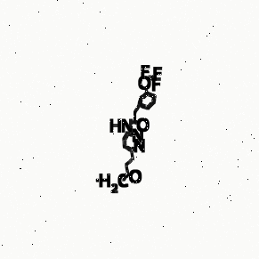 [CH2]C(=O)CCc1ccc(NC(=O)Cc2cccc(OC(F)(F)F)c2)nn1